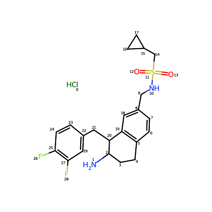 Cl.NC1CCc2ccc(CNS(=O)(=O)CC3CC3)cc2C1Cc1ccc(F)c(F)c1